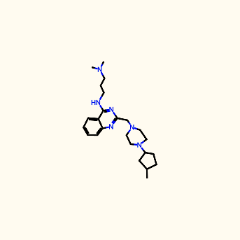 CC1CCC(N2CCN(Cc3nc(NCCCN(C)C)c4ccccc4n3)CC2)C1